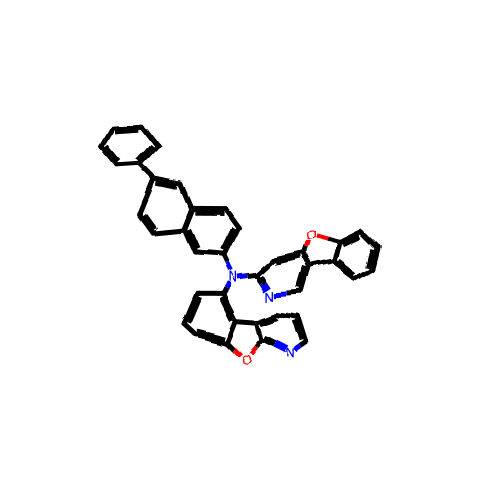 c1ccc(-c2ccc3cc(N(c4cc5oc6ccccc6c5cn4)c4cccc5oc6ncccc6c45)ccc3c2)cc1